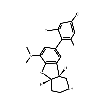 CN(C)c1cc(-c2c(F)cc(Cl)cc2F)cc2c1O[C@H]1CCNC[C@@H]21